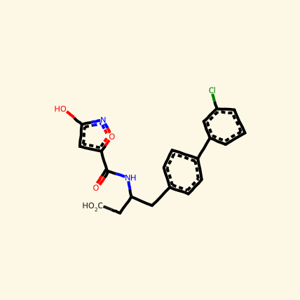 O=C(O)CC(Cc1ccc(-c2cccc(Cl)c2)cc1)NC(=O)c1cc(O)no1